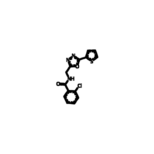 O=C(NCc1nnc(-c2cccs2)o1)c1ccccc1Cl